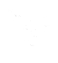 Cn1ccc(C(=O)Nc2sc(SN3CCCCC3)cc2C(N)=O)n1